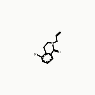 C=CCN1CCc2c(Br)cccc2C1=O